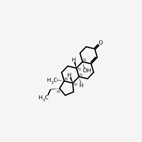 CC[C@H]1CC[C@H]2[C@@H]3CCC4=CC(=O)CC[C@]4(O)[C@H]3CC[C@]12C